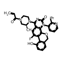 C=CC(=O)N1CCN(c2nc(=O)n(-c3cccnc3C(C)C)c3c4c(c(F)cc23)-c2c(O)cccc2CO4)[C@@H](C)C1